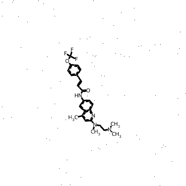 Cc1cc(N(C)CCN(C)C)nc2ccc(NC(=O)C=Cc3ccc(OC(F)(F)F)cc3)cc12